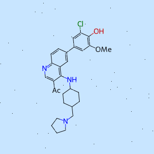 COc1cc(-c2ccc3ncc(C(C)=O)c(NC4CCC(CN5CCCC5)CC4)c3c2)cc(Cl)c1O